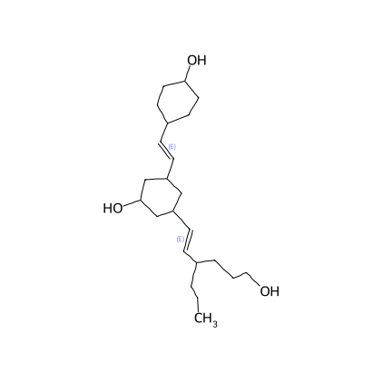 CCCC(/C=C/C1CC(O)CC(/C=C/C2CCC(O)CC2)C1)CCCO